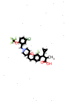 CC(C(=O)O)C(c1ccc2c(c1F)OC1(CC2)CCN(Cc2cc(Cl)ccc2OC(F)(F)F)CC1)C1CC1